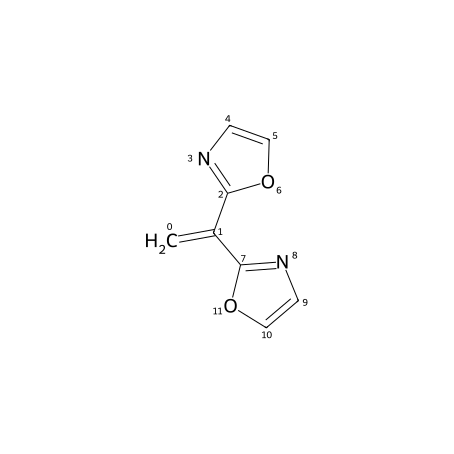 C=C(c1ncco1)c1ncco1